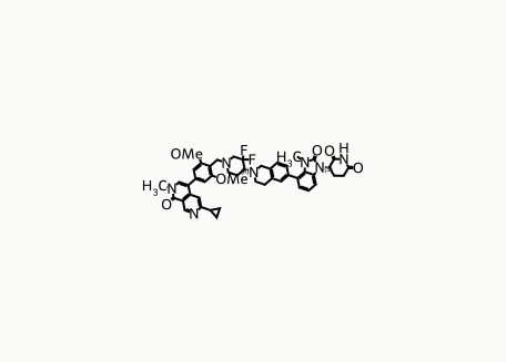 COc1cc(-c2cn(C)c(=O)c3cnc(C4CC4)cc23)cc(OC)c1CN1CC[C@@H](N2CCc3cc(-c4cccc5c4n(C)c(=O)n5[C@H]4CCC(=O)NC4=O)ccc3C2)C(F)(F)C1